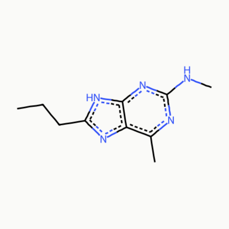 CCCc1nc2c(C)nc(NC)nc2[nH]1